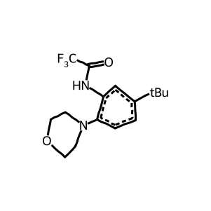 CC(C)(C)c1ccc(N2CCOCC2)c(NC(=O)C(F)(F)F)c1